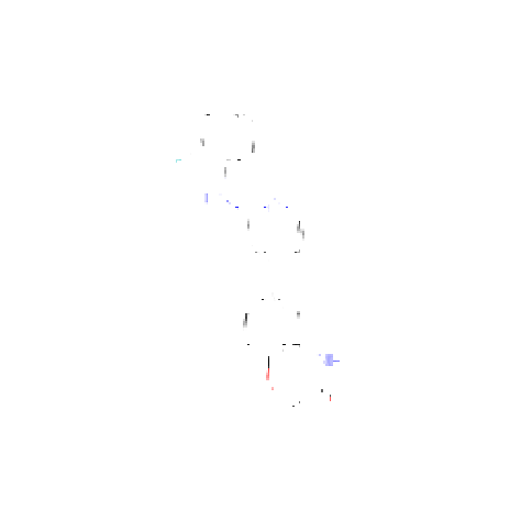 O=C1COc2ccc(-c3ccnc(Nc4ccccc4F)c3)cc2N1